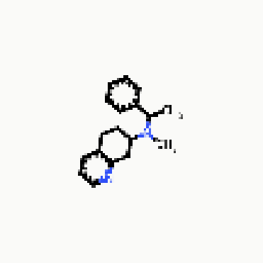 CC(c1ccccc1)N(C)C1CCc2cccnc2C1